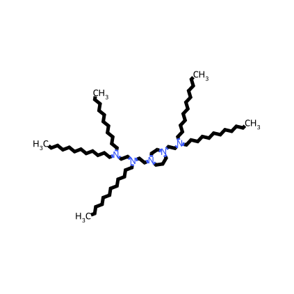 CCCCCCCCCCCCN(CCCCCCCCCCC)CCN(CCCCCCCCCCCC)CCN1CCCN(CCN(CCCCCCCCCCCC)CCCCCCCCCCCC)CC1